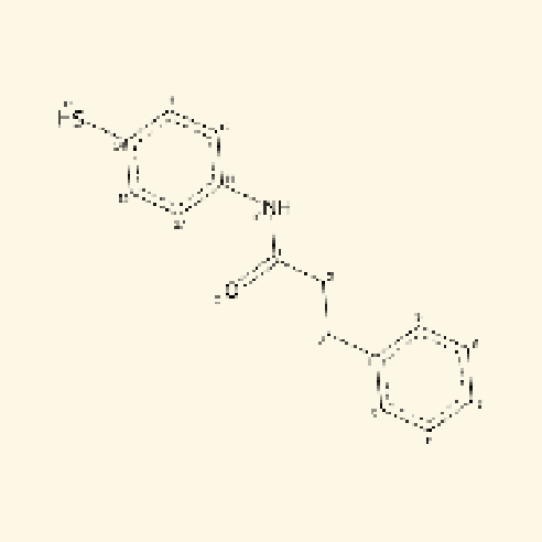 O=C(CCc1ccccc1)Nc1ccc(S)cc1